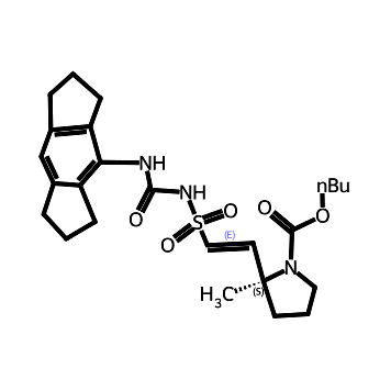 CCCCOC(=O)N1CCC[C@@]1(C)/C=C/S(=O)(=O)NC(=O)Nc1c2c(cc3c1CCC3)CCC2